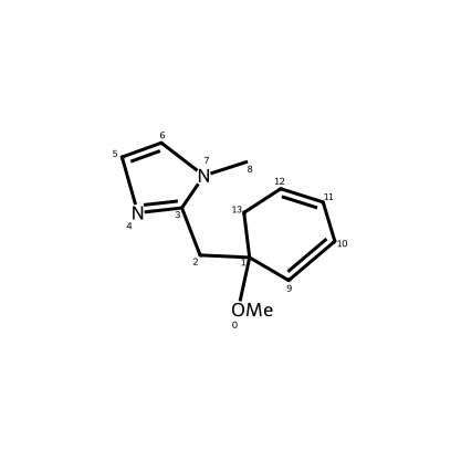 COC1(Cc2nccn2C)C=CC=CC1